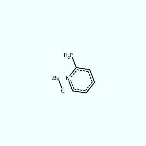 CC(C)(C)Cl.Pc1ccccn1